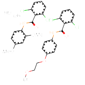 CCOCCOc1ccc(PC(=O)c2c(Cl)cccc2Cl)cc1.COc1ccc(PC(=O)c2c(Cl)cccc2Cl)c(OC)c1.[LiH].[LiH]